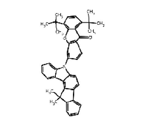 CC(C)(C)c1ccc(C(C)(C)C)c2c(=O)c3ccc(-n4c5ccccc5c5c6c(ccc54)-c4ccccc4C6(C)C)cc3oc12